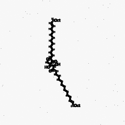 CCCCCCCCC=CCCCCCCCCCCCC(=O)C(O)C(O)(CO)C(=O)CCCCCCCCCCCC=CCCCCCCCC